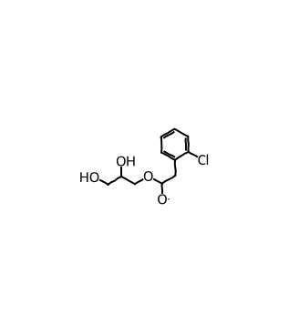 [O]C(Cc1ccccc1Cl)OCC(O)CO